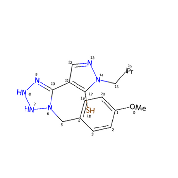 COc1ccc(CN2NNN=C2c2cnn(CC(C)C)c2S)cc1